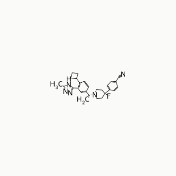 C=C(c1ccc(C2CCC2)c(-c2nnc(C)[nH]2)c1)N1CCC(F)(c2ccc(C#N)cc2)CC1